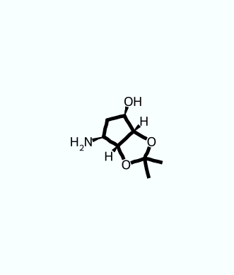 CC1(C)O[C@@H]2[C@H](O1)[C@@H](N)C[C@H]2O